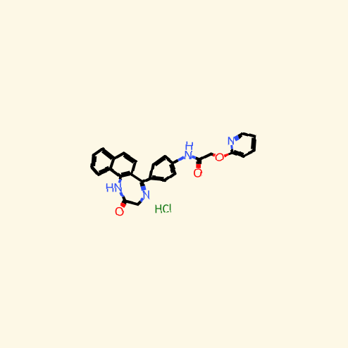 Cl.O=C(COc1ccccn1)Nc1ccc(C2=NCC(=O)Nc3c2ccc2ccccc32)cc1